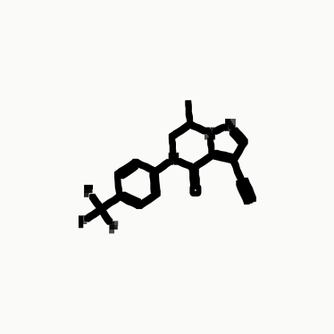 C#Cc1cnn2c1C(=O)N(c1ccc(C(F)(F)F)cc1)CC2C